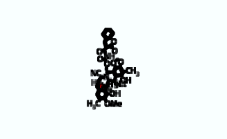 CCS[C@@H]1c2c(O)c(C)c3c(c2[C@H](COC(=O)NC(=O)c2cc4ccccc4oc2=O)N2[C@@H]1[C@@H]1c4c(cc(C)c(OC)c4O)C[C@@H]([C@@H]2C#N)N1C)OCO3